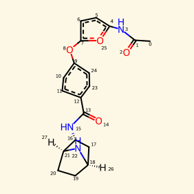 CC(=O)Nc1ccc(Oc2ccc(C(=O)N[C@@H]3C[C@H]4CC[C@@H]3N4)cc2)o1